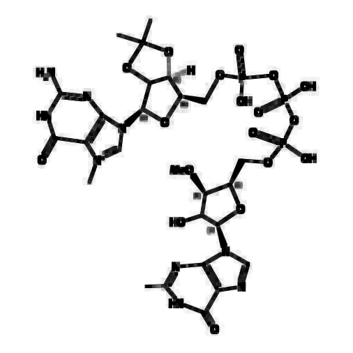 CO[C@@H]1C(O)[C@H](n2cnc3c(=O)[nH]c(C)nc32)O[C@@H]1COP(=O)(O)OP(=O)(O)OP(=O)(O)OC[C@H]1O[C@@H](n2c[n+](C)c3c(=O)[nH]c(N)nc32)C2OC(C)(C)O[C@H]21